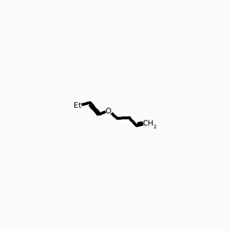 [CH2]CC=COCCC=C